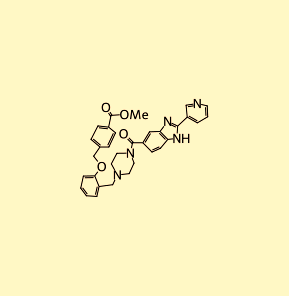 COC(=O)c1ccc(COc2ccccc2CN2CCN(C(=O)c3ccc4[nH]c(-c5cccnc5)nc4c3)CC2)cc1